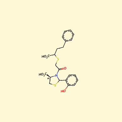 O=C(O)C(CCc1ccccc1)SCC(=O)N1C(c2ccccc2O)SC[C@H]1C(=O)O